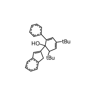 CC(C)(C)C1=CC(C(C)(C)C)C(O)(C2=Cc3ccccc3C2)C(c2ccccc2)=C1